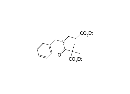 CCOC(=O)CCN(Cc1ccccc1)C(=O)C(C)(C)C(=O)OCC